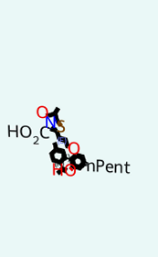 C=C(C)[C@@H]1CCC(C)=C[C@H]1c1c(O)cc(CCCCC)cc1OC/C=C/C1=C(C(=O)O)N2C(=O)C(C)C2S1